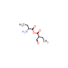 CCC(N)C(=O)OC(=O)C(C=O)CC